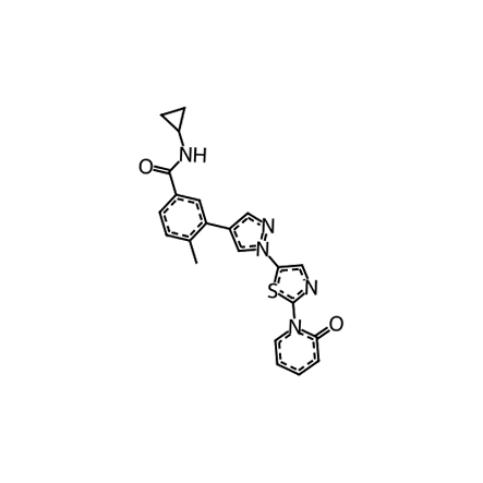 Cc1ccc(C(=O)NC2CC2)cc1-c1cnn(-c2cnc(-n3ccccc3=O)s2)c1